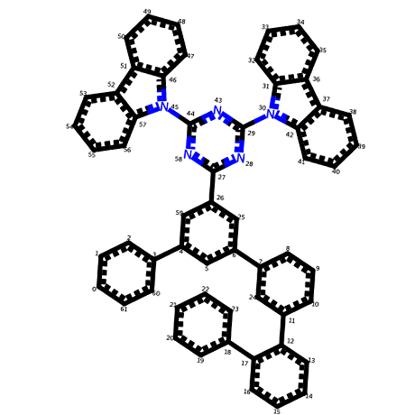 c1ccc(-c2cc(-c3cccc(-c4ccccc4-c4ccccc4)c3)cc(-c3nc(-n4c5ccccc5c5ccccc54)nc(-n4c5ccccc5c5ccccc54)n3)c2)cc1